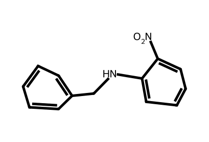 O=[N+]([O-])c1ccccc1NCc1ccccc1